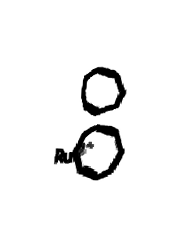 C1=CCCC=CCC1.C1=CCCC=CCC1.[Ru+2]